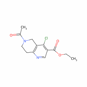 CCOC(=O)c1cnc2c(c1Cl)CN(C(C)=O)CC2